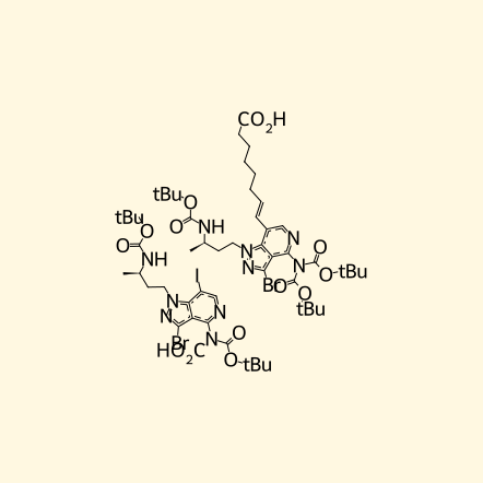 C[C@H](CCn1nc(Br)c2c(N(C(=O)O)C(=O)OC(C)(C)C)ncc(I)c21)NC(=O)OC(C)(C)C.C[C@H](CCn1nc(Br)c2c(N(C(=O)OC(C)(C)C)C(=O)OC(C)(C)C)ncc(/C=C/CCCCCC(=O)O)c21)NC(=O)OC(C)(C)C